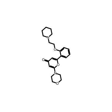 O=c1cc(-c2ccccc2OCCN2CCCCC2)oc(N2CCOCC2)c1